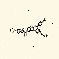 C#CCOc1ccc2c(c1)c(-c1ccc(C3CC3)cc1)nc(=O)n2Cc1cccc(NC(=O)CN2CCN(C)CC2)c1